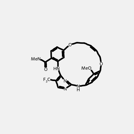 CNC(=O)c1ccc2cc1Nc1nc(ncc1C(F)(F)F)Nc1ccc(c(OC)c1)OC/C=C\CCO2